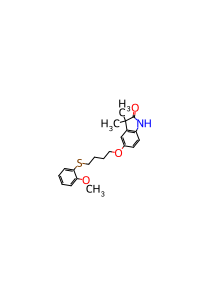 COc1ccccc1SCCCCOc1ccc2c(c1)C(C)(C)C(=O)N2